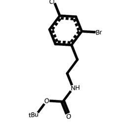 CC(C)(C)OC(=O)NCCc1ccc(Cl)cc1Br